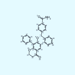 NC(=O)c1ccc([C@@H](Oc2ccc3c(c2-c2ccccc2)OCCC3=O)c2ccncc2)cc1